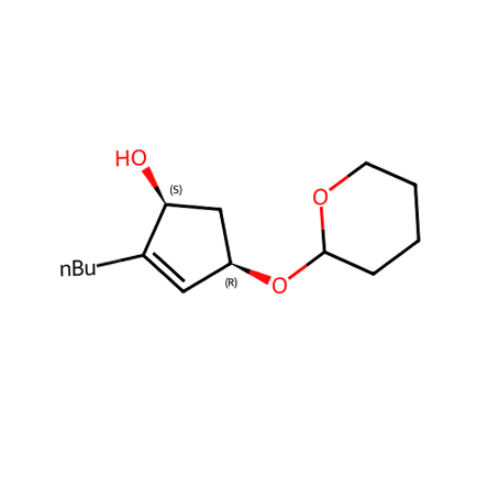 CCCCC1=C[C@H](OC2CCCCO2)C[C@@H]1O